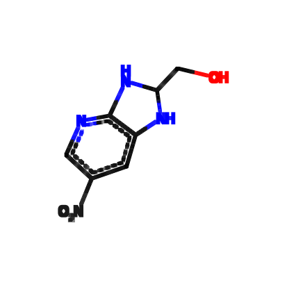 O=[N+]([O-])c1cnc2c(c1)NC(CO)N2